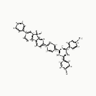 CC1(C)c2cc(-c3ccccc3)ccc2-c2ccc(-c3ccc(-c4nc(-c5ccc(F)cc5)nc(-c5ccc(F)cc5)n4)cc3)cc21